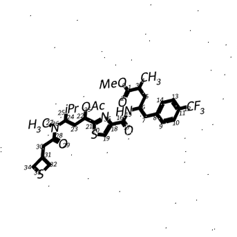 COC(=O)C(C)CC(Cc1ccc(C(F)(F)F)cc1)NC(=O)c1csc(C(CC(C(C)C)N(C)C(=O)CC2CSC2)OC(C)=O)n1